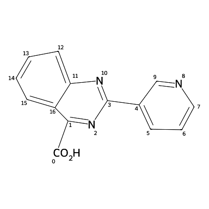 O=C(O)c1nc(-c2cccnc2)nc2ccccc12